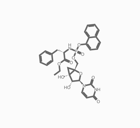 CCOC(=O)[C@H](Cc1ccccc1)NP(=O)(OC[C@]12C[C@]1(O)[C@@H](O)[C@H](n1ccc(=O)[nH]c1=O)O2)Oc1cccc2ccccc12